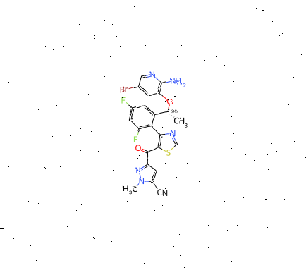 C[C@@H](Oc1cc(Br)cnc1N)c1cc(F)cc(F)c1-c1ncsc1C(=O)c1cc(C#N)n(C)n1